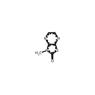 Cn1c(=O)sc2nccnc21